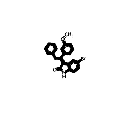 COc1cccc(/C(Cc2ccccc2)=C2/C(=O)Nc3ccc(Br)cc32)c1